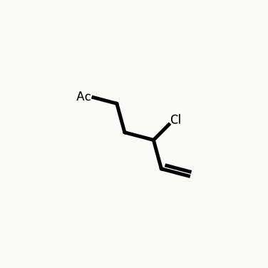 C=CC(Cl)CCC(C)=O